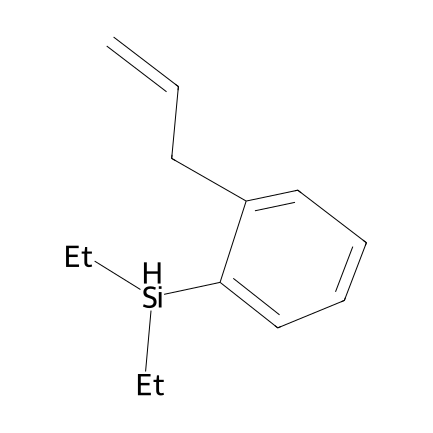 C=CCc1ccccc1[SiH](CC)CC